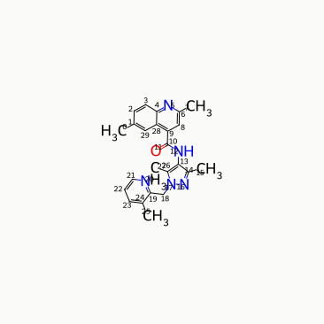 Cc1ccc2nc(C)cc(C(=O)Nc3c(C)nn(Cc4ncccc4C)c3C)c2c1